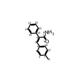 Cc1ccc(/C=C(\C(N)=O)c2ccccc2)cc1